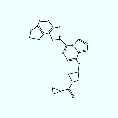 O=C(C1CC1)N1CC(Oc2cnc(NCc3c(F)ccc4c3CCO4)n3cnnc23)C1